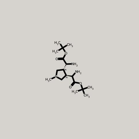 CN1C[C@H](C(N)C(=O)OC(C)(C)C)[C@@H](C(N)C(=O)OC(C)(C)C)C1